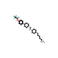 CCCCCC[C@H]1CC[C@H](CC[C@H]2CC[C@H](c3ccc(OC(F)C(F)(F)F)cc3)CC2)CC1